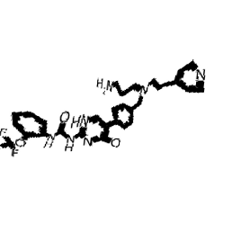 NCCCN(CCc1ccncc1)Cc1ccc(-c2c[nH]c(NC(=O)Nc3ccccc3OC(F)(F)F)nc2=O)cc1